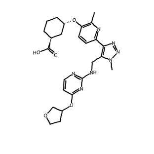 Cc1nc(-c2nnn(C)c2CNc2nccc(OC3CCOC3)n2)ccc1O[C@H]1CCC[C@H](C(=O)O)C1